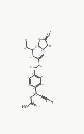 CC#C[C@@H](CC(=O)O)c1ccc(OC/C(=C/[C@@H]2CCC(=O)C2)CCCC)cc1